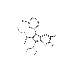 CCOC(=O)c1c(N(CC)CC)c2cc(F)c(Cl)cc2n1-c1cccc(Cl)c1